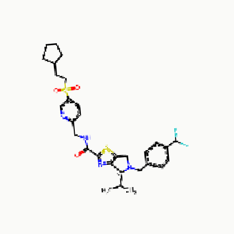 CC(C)[C@H]1c2nc(C(=O)NCc3ccc(S(=O)(=O)CCC4CCCC4)cn3)sc2CN1Cc1ccc(C(F)F)cc1